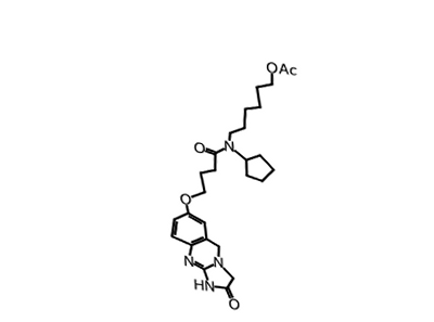 CC(=O)OCCCCCCN(C(=O)CCCOc1ccc2c(c1)CN1CC(=O)NC1=N2)C1CCCC1